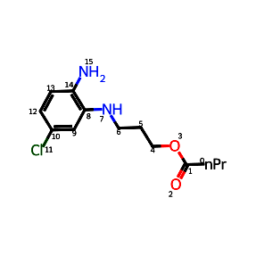 CCCC(=O)OCCCNc1cc(Cl)ccc1N